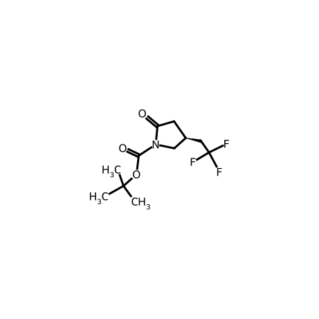 CC(C)(C)OC(=O)N1C[C@H](CC(F)(F)F)CC1=O